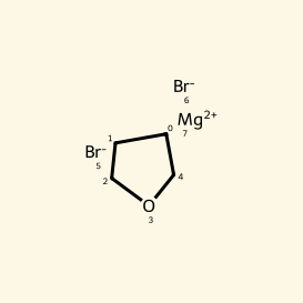 C1CCOC1.[Br-].[Br-].[Mg+2]